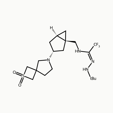 CC(C)(C)N/N=C(\NC[C@@]12C[C@H](N3CCC4(C3)CS(=O)(=O)C4)C[C@H]1C2)C(F)(F)F